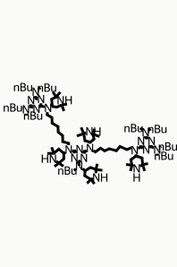 CCCCN(CCCC)c1nc(N(CCCC)CCCC)nc(N(CCCCCCCCN(c2nc(N(CCCC)C3CC(C)(C)NC(C)(C)C3)nc(N(CCCCCCCCN(c3nc(N(CCCC)CCCC)nc(N(CCCC)CCCC)n3)C3CC(C)(C)NC(C)(C)C3)C3CC(C)(C)NC(C)(C)C3)n2)C2CC(C)(C)NC(C)(C)C2)C2CC(C)(C)NC(C)(C)C2)n1